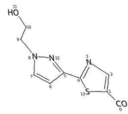 O=C(O)c1cnc(-c2ccn(CCO)n2)s1